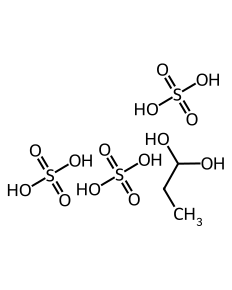 CCC(O)O.O=S(=O)(O)O.O=S(=O)(O)O.O=S(=O)(O)O